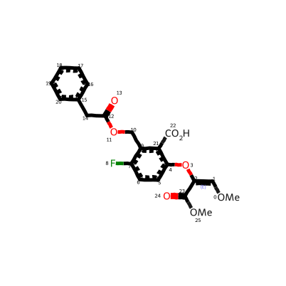 CO/C=C(/Oc1ccc(F)c(COC(=O)Cc2ccccc2)c1C(=O)O)C(=O)OC